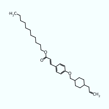 [CH2]CCCCCCCCCCOC(=O)/C=C/c1ccc(OCC2CCC(CC=C)CC2)cc1